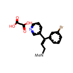 CNCC=C(c1cccnc1)c1cccc(Br)c1.O=C(O)C(=O)O